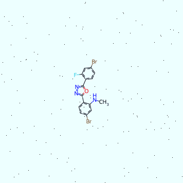 CNc1cc(Br)ccc1-c1nnc(-c2ccc(Br)cc2F)o1